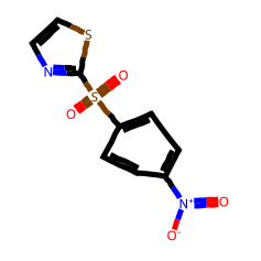 O=[N+]([O-])c1ccc(S(=O)(=O)c2nccs2)cc1